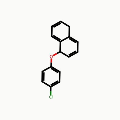 Clc1ccc(OC2C=CC=C3CC=CC=C32)cc1